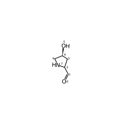 O=CC1C[C@H](O)CN1